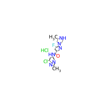 Cc1cn2cc(NC(=O)c3cnc(N4CCNC(C)C4)c(F)c3)cc(Cl)c2n1.Cl